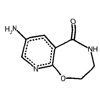 Nc1cnc2c(c1)C(=O)NCCO2